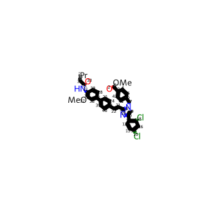 COC(=O)c1ccc(Cn2cc(-c3ccc(Cl)cc3Cl)nc2C=Cc2ccc(-c3ccc(NC(=O)CC(C)C)c(OC)c3)cc2)cc1